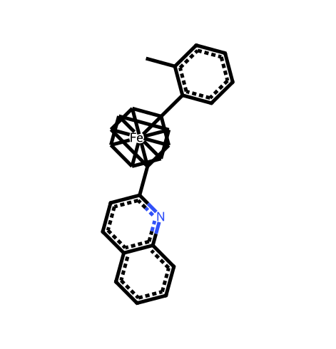 Cc1ccccc1[C]12[CH]3[CH]4[C]5(c6ccc7ccccc7n6)[CH]1[Fe]43521678[CH]2[CH]1[CH]6[CH]7[CH]28